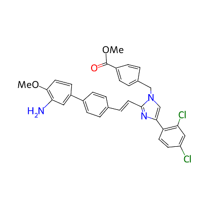 COC(=O)c1ccc(Cn2cc(-c3ccc(Cl)cc3Cl)nc2C=Cc2ccc(-c3ccc(OC)c(N)c3)cc2)cc1